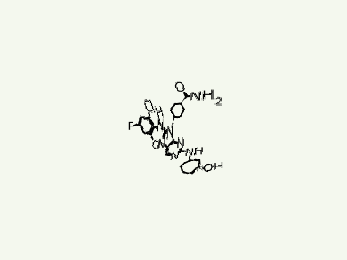 NC(=O)[C@H]1CC[C@@H](n2c(Nc3c(Cl)cc(F)cc3Cl)nc3cnc(NC4CCC[C@@H](O)C4)nc32)CC1